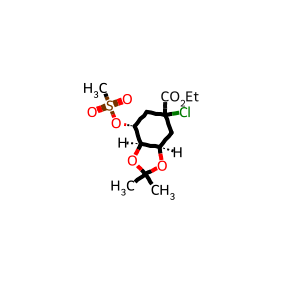 CCOC(=O)C1(Cl)C[C@H]2OC(C)(C)O[C@H]2[C@H](OS(C)(=O)=O)C1